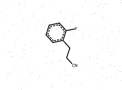 N#CCCc1c[c]ccc1F